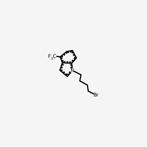 FC(F)(F)c1cccc2c1ccn2CCCCBr